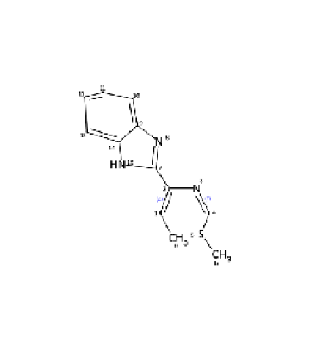 C/C=C(\N=C/SC)c1nc2ccccc2[nH]1